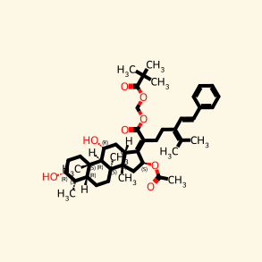 CC(=O)O[C@H]1C[C@@]2(C)[C@H](C[C@@H](O)[C@@H]3[C@@]4(C)CC[C@@H](O)[C@@H](C)[C@H]4CC[C@@]32C)C1=C(CCC(C=Cc1ccccc1)=C(C)C)C(=O)OCOC(=O)C(C)(C)C